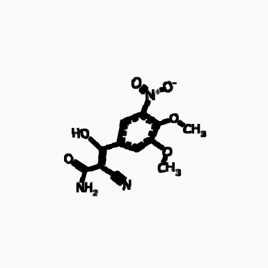 COc1cc(/C(O)=C(\C#N)C(N)=O)cc([N+](=O)[O-])c1OC